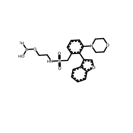 [2H]B(O)OCCNS(=O)(=O)Cc1cccc(N2CCOCC2)c1-c1coc2ccccc12